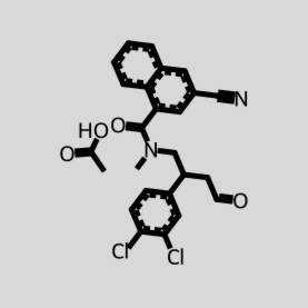 CC(=O)O.CN(CC(CC=O)c1ccc(Cl)c(Cl)c1)C(=O)c1cc(C#N)cc2ccccc12